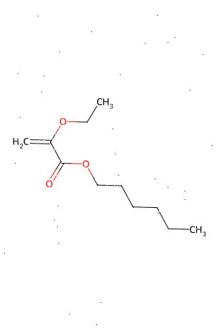 C=C(OCC)C(=O)OCCCCCC